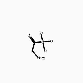 CCCCCCCC(=O)[Si](CC)(CC)CC